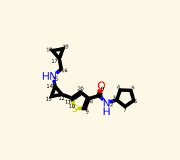 O=C(NC1CCCC1)c1csc(C2CC2NCC2CC2)c1